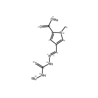 COC(=O)c1cc(/C=N/NC(=S)NC(C)(C)C)cn1C